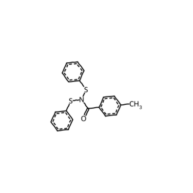 Cc1ccc(C(=O)N(Sc2ccccc2)Sc2ccccc2)cc1